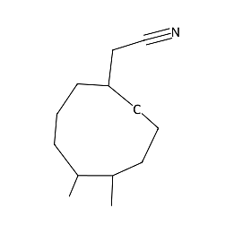 CC1CCCC(CC#N)CCCC1C